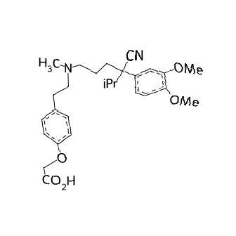 COc1ccc(C(C#N)(CCCN(C)CCc2ccc(OCC(=O)O)cc2)C(C)C)cc1OC